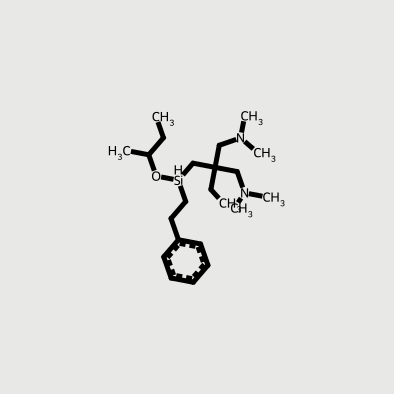 CCC(C)O[SiH](CCc1ccccc1)CC(CC)(CN(C)C)CN(C)C